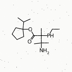 CCPC(C)(C(=O)OC1(C(C)C)CCCC1)C(C)(C)N